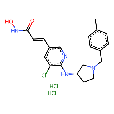 Cc1ccc(CN2CC[C@@H](Nc3ncc(/C=C/C(=O)NO)cc3Cl)C2)cc1.Cl.Cl